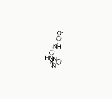 COc1ccc(CCNC[C@H]2CC[C@@H](Nc3nc(N(C)C)c4ccccc4n3)CC2)cc1